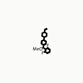 C=CC1CCC(c2ccc(C(OC)c3c(F)cccc3F)cc2)CC1